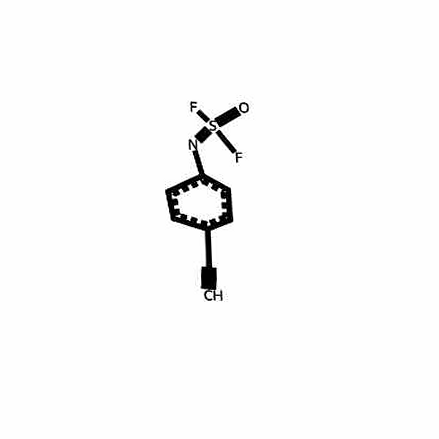 C#Cc1ccc(N=S(=O)(F)F)cc1